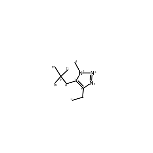 CCc1nnn(C)c1CC(C)(C)C